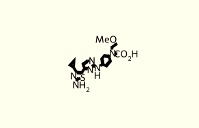 COCCN(C(=O)O)c1ccc(Nc2nccc(-c3sc(N)nc3C3CC3)n2)cc1